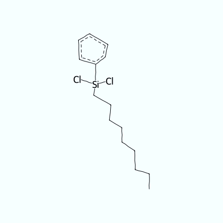 CCCCCCCCC[Si](Cl)(Cl)c1ccccc1